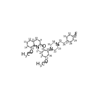 COc1cc(Cn2c(=O)ccc3cccc(OC)c32)cc(N2CCN(CCc3ccc(F)cc3)CC2)c1